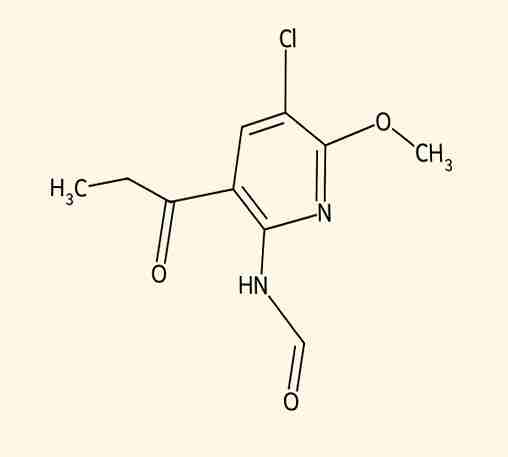 CCC(=O)c1cc(Cl)c(OC)nc1NC=O